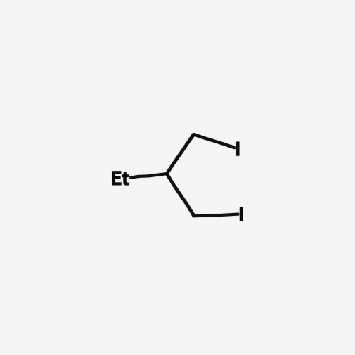 CCC(CI)CI